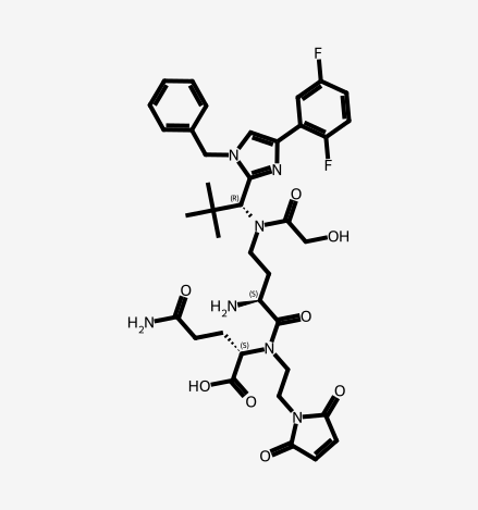 CC(C)(C)[C@H](c1nc(-c2cc(F)ccc2F)cn1Cc1ccccc1)N(CC[C@H](N)C(=O)N(CCN1C(=O)C=CC1=O)[C@@H](CCC(N)=O)C(=O)O)C(=O)CO